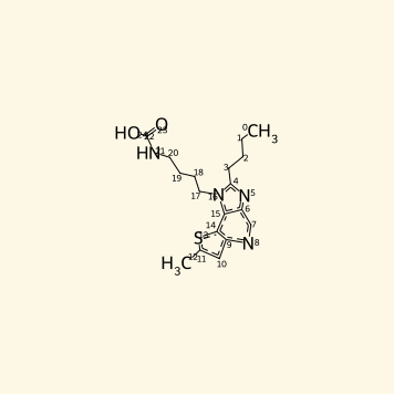 CCCCc1nc2cnc3cc(C)sc3c2n1CCCCNC(=O)O